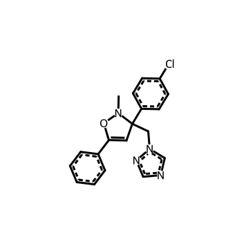 CN1OC(c2ccccc2)=CC1(Cn1cncn1)c1ccc(Cl)cc1